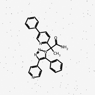 CC(C(N)=O)(c1ccc(-c2ccccc2)cn1)n1nnc(-c2ccncc2)c1-c1ccccc1